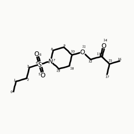 CCCCS(=O)(=O)N1CCC(OCC(=O)C(C)C)CC1